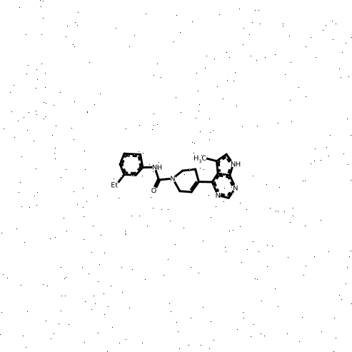 CCc1cccc(NC(=O)N2CC=C(c3ncnc4[nH]cc(C)c34)CC2)c1